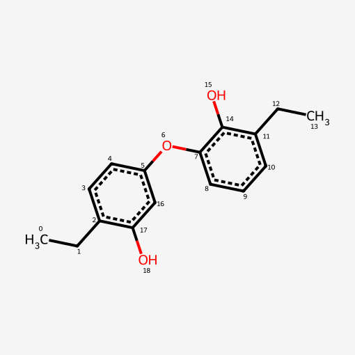 CCc1ccc(Oc2cccc(CC)c2O)cc1O